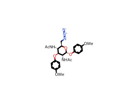 COc1ccc(O[C@H]2O[C@H](CN=[N+]=[N-])[C@@H](NC(C)=O)[C@H](Oc3ccc(OC)cc3)[C@H]2NC(C)=O)cc1